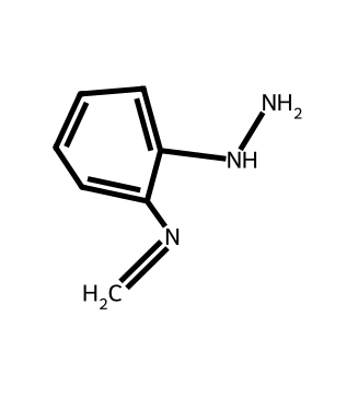 C=Nc1ccccc1NN